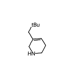 CC(C)(C)CC1=CCCNC1